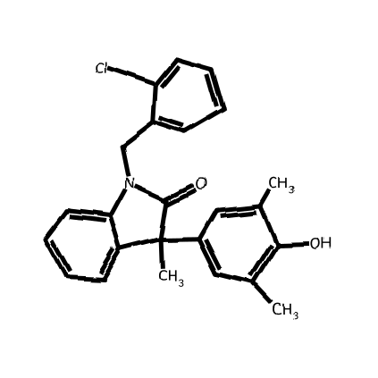 Cc1cc(C2(C)C(=O)N(Cc3ccccc3Cl)c3ccccc32)cc(C)c1O